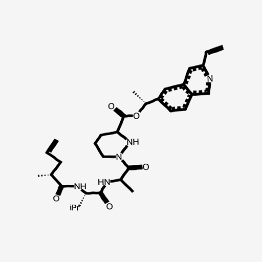 C=CC[C@@H](C)C(=O)N[C@H](C(=O)NC(C)C(=O)N1CCCC(C(=O)O[C@H](C)c2ccc3cnc(C=C)cc3c2)N1)C(C)C